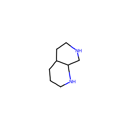 [CH]1CCC2CCNCC2N1